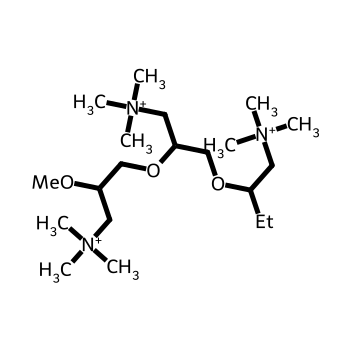 CCC(C[N+](C)(C)C)OCC(C[N+](C)(C)C)OCC(C[N+](C)(C)C)OC